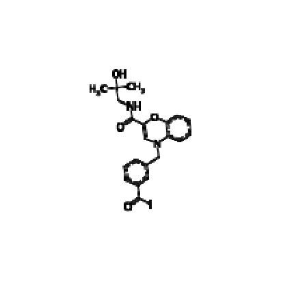 CC(C)(O)CNC(=O)C1=CN(Cc2cccc(C(=O)I)c2)c2ccccc2O1